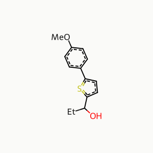 CCC(O)c1ccc(-c2ccc(OC)cc2)s1